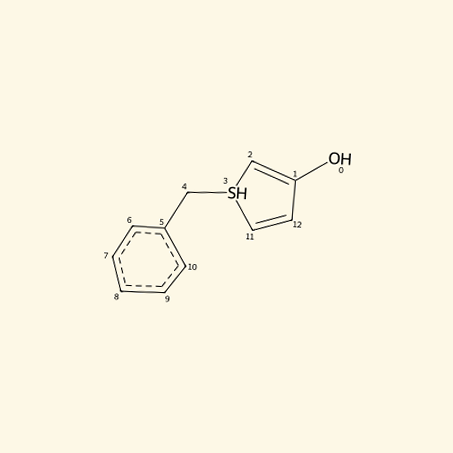 OC1=C[SH](Cc2ccccc2)C=C1